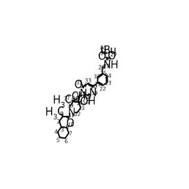 CC(CC1CCCCC1)C(=O)N1CCC(O)(Cn2cnc(-c3cccc(CNC(=O)OC(C)(C)C)c3)cc2=O)C(C)(C)C1